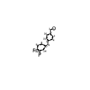 O=Cc1ccc(Cc2ccc(F)c(F)c2)cc1